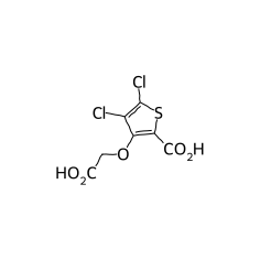 O=C(O)COc1c(C(=O)O)sc(Cl)c1Cl